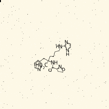 O=C(NC(CCCCNc1ncc[nH]1)(Cc1cccnc1)C(=O)O)C1=NOCC1